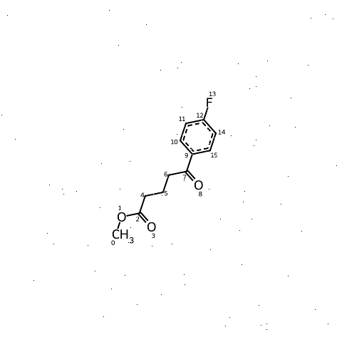 COC(=O)CCCC(=O)c1ccc(F)cc1